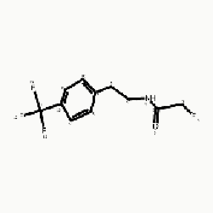 O=C(CF)NCCc1ccc(C(F)(F)F)cc1